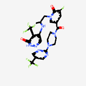 CC(Cn1cc(C(=O)N2CCN(c3ncc(C(F)(F)F)cn3)CC2)cc(F)c1=O)Nc1cn[nH]c(=O)c1C(F)(F)F